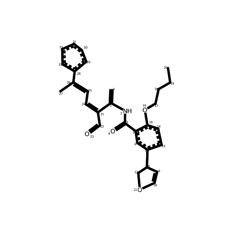 C=C(NC(=O)c1cc(C2C=COC2)ccc1OCCCC)/C(C=O)=C\C=C(/C)c1ccccc1